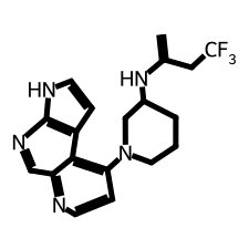 C=C(CC(F)(F)F)NC1CCCN(c2ccnc3cnc4[nH]ccc4c23)C1